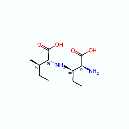 CC[C@@H](C)[C@@H](N)C(=O)O.CC[C@@H](C)[C@H](N)C(=O)O